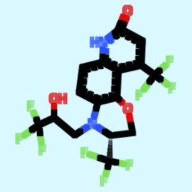 O=c1cc(C(F)(F)F)c2c3c(ccc2[nH]1)N(CC(O)C(F)(F)F)[C@@H](C(F)(F)F)CO3